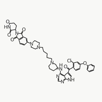 O=C1CCC(N2C(=O)c3ccc(N4CCN(CCCCCN5CCC[C@@H](Nc6ncnc7[nH]cc(C(=O)c8ccc(Oc9ccccc9)cc8Cl)c67)C5)CC4)cc3C2=O)C(=O)N1